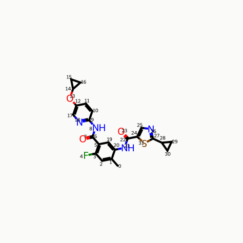 Cc1cc(F)c(C(=O)Nc2ccc(OC3CC3)cn2)cc1NC(=O)c1cnc(C2CC2)s1